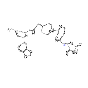 O=C1NC(=O)/C(=C/c2ccnc(N3CCC(CNCc4cc(C(F)(F)F)cc(-c5ccc6c(c5)OCO6)n4)CC3)n2)S1